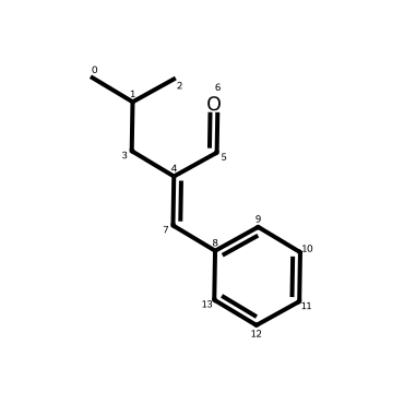 CC(C)CC(C=O)=Cc1ccccc1